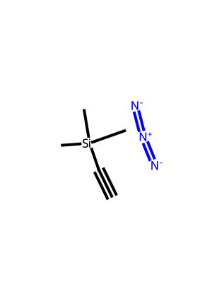 C#C[Si](C)(C)C.[N-]=[N+]=[N-]